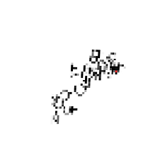 COc1cc(C(=O)N2CC3CCC2[C@@H]3N)cc2nc(-c3cc4ccc(-c5ccc6ncc(C#N)c(O)c6c5)cc4n3CC3CC3)n(C)c12